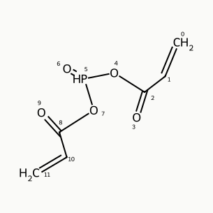 C=CC(=O)O[PH](=O)OC(=O)C=C